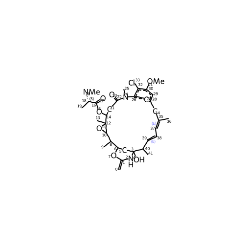 C=C1NC2(O)CC(O1)C(C)C1OC1(C)C(OC(=O)[C@H](C)NC)CC(=O)N(C)c1cc(cc(OC)c1Cl)C/C(C)=C/C=C/C2C